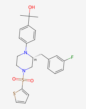 CC(C)(O)c1ccc(N2CCN(S(=O)(=O)c3cccs3)C[C@H]2Cc2cccc(F)c2)cc1